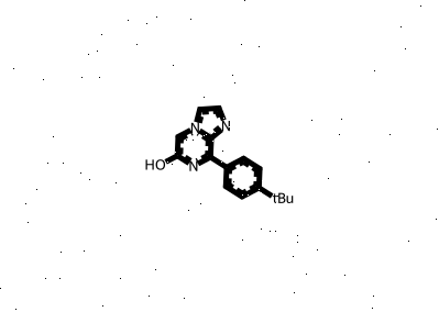 CC(C)(C)c1ccc(-c2nc(O)cn3ccnc23)cc1